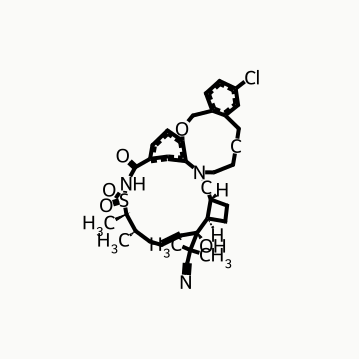 C[C@@H]1[C@@H](C)C/C=C/[C@@](O)(C(C)(C)C#N)[C@@H]2CC[C@H]2CN2CCCCc3cc(Cl)ccc3COc3ccc(cc32)C(=O)NS1(=O)=O